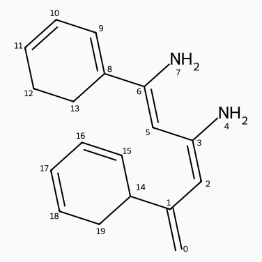 C=C(/C=C(N)\C=C(/N)C1=CC=CCC1)C1C=CC=CC1